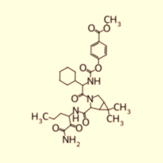 CCCC(NC(=O)C1C2C(CN1C(=O)C(NC(=O)Oc1ccc(C(=O)OC)cc1)C1CCCCC1)C2(C)C)C(=O)C(N)=O